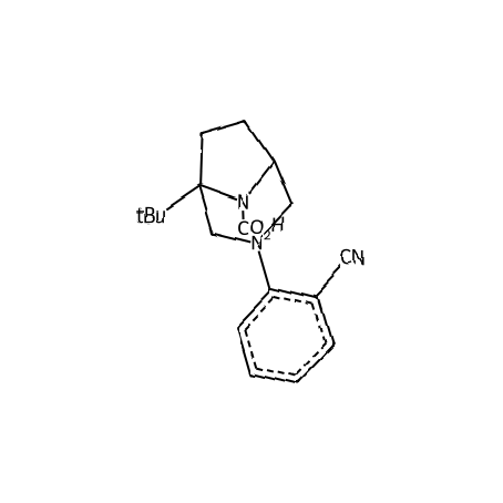 CC(C)(C)C12CCC(CN(c3ccccc3C#N)C1)N2C(=O)O